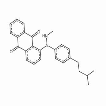 CNN(c1ccc(CCC(C)C)cc1)c1cccc2c1C(=O)c1ccccc1C2=O